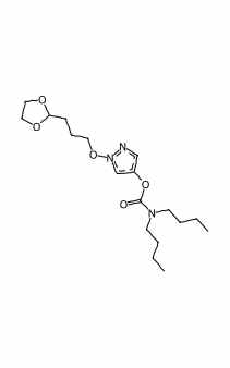 CCCCN(CCCC)C(=O)Oc1cnn(OCCCC2OCCO2)c1